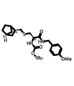 COc1ccc(CNC(=O)[C@H](CSC[C@H]2C[C@H]3CCC2C3)NC(=O)OC(C)(C)C)cc1